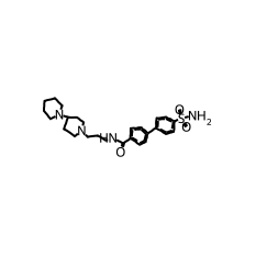 NS(=O)(=O)c1ccc(-c2ccc(C(=O)NCCCN3CCC(N4CCCCC4)CC3)cc2)cc1